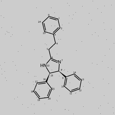 c1ccc(CCC2=N[C@@H](c3ccccc3)[C@@H](c3ccccc3)N2)cc1